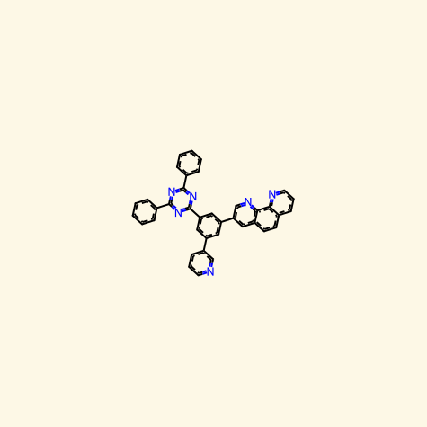 c1ccc(-c2nc(-c3ccccc3)nc(-c3cc(-c4cccnc4)cc(-c4cnc5c(ccc6cccnc65)c4)c3)n2)cc1